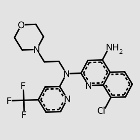 Nc1cc(N(CCN2CCOCC2)c2cc(C(F)(F)F)ccn2)nc2c(Cl)cccc12